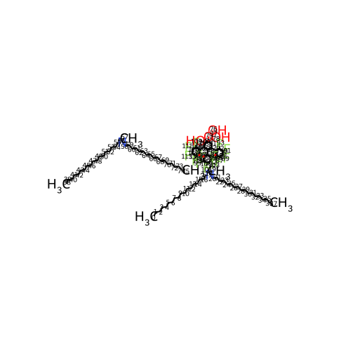 CCCCCCCCCCCCCCCCCCN(C)CCCCCCCCCCCCCCCCCC.CCCCCCCCCCCCCCCCCCN(C)CCCCCCCCCCCCCCCCCC.OB(O)Oc1cc(-c2c(F)c(F)c(F)c(F)c2F)c(-c2c(F)c(F)c(F)c(F)c2F)c(-c2c(F)c(F)c(F)c(F)c2F)c1O